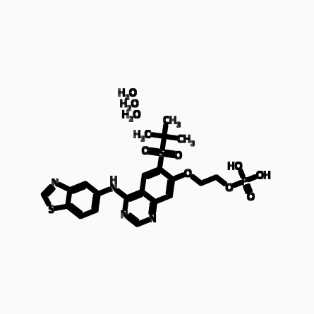 CC(C)(C)S(=O)(=O)c1cc2c(Nc3ccc4scnc4c3)ncnc2cc1OCCOP(=O)(O)O.O.O.O